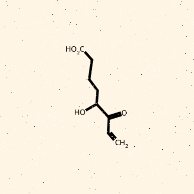 C=CC(=O)C(O)C[CH]CC(=O)O